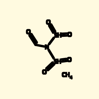 C.O=CN([SH](=O)=O)[SH](=O)=O